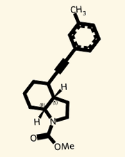 COC(=O)N1CC[C@H]2C(C#Cc3cccc(C)c3)CCC[C@H]21